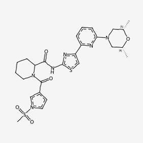 C[C@@H]1CN(c2cccc(-c3csc(NC(=O)C4CCCCN4C(=O)c4ccn(S(C)(=O)=O)c4)n3)n2)C[C@H](C)O1